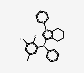 Cc1cc(Cl)c(Cl)c(N(c2ccccc2)c2cn(-c3ccccc3)c3c2CCCC3)c1